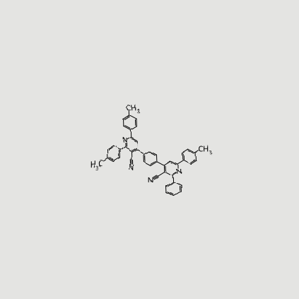 Cc1ccc(-c2cc(-c3ccc(-c4cc(-c5ccc(C)cc5)nc(-c5ccc(C)cc5)c4C#N)cc3)c(C#N)c(-c3ccccc3)n2)cc1